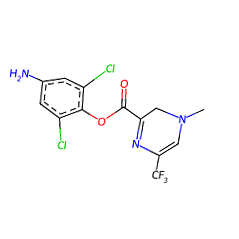 CN1C=C(C(F)(F)F)N=C(C(=O)Oc2c(Cl)cc(N)cc2Cl)C1